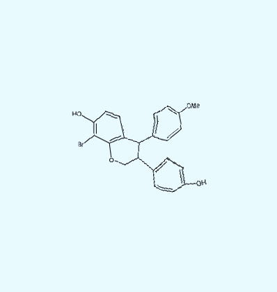 COc1ccc(C2c3ccc(O)c(Br)c3OCC2c2ccc(O)cc2)cc1